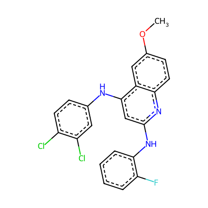 COc1ccc2nc(Nc3ccccc3F)cc(Nc3ccc(Cl)c(Cl)c3)c2c1